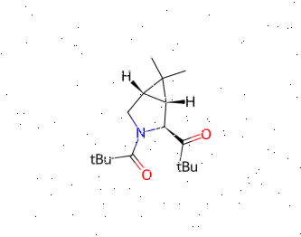 CC(C)(C)C(=O)[C@@H]1[C@@H]2[C@H](CN1C(=O)C(C)(C)C)C2(C)C